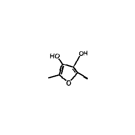 Cc1oc(C)c(O)c1O